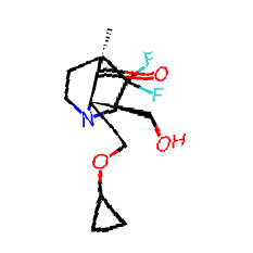 C[C@]12CCN(CC1(F)F)[C@@](CO)(COC1CC1)C2=O